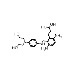 Nc1ccc(N)c(CNc2ccc(N(CCO)CCO)cc2)c1CCC(O)O